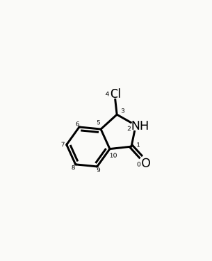 O=C1NC(Cl)c2ccccc21